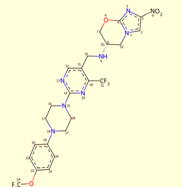 O=[N+]([O-])c1cn2c(n1)OC[C@@H](NCc1cnc(N3CCN(c4ccc(OC(F)(F)F)cc4)CC3)nc1C(F)(F)F)C2